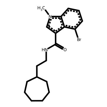 Cn1cc(C(=O)NCCC2CCCCCC2)c2c(Br)cccc21